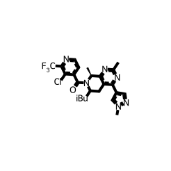 CCC(C)C1Cc2c(-c3cnn(C)c3)nc(C)nc2[C@H](C)N1C(=O)c1ccnc(C(F)(F)F)c1Cl